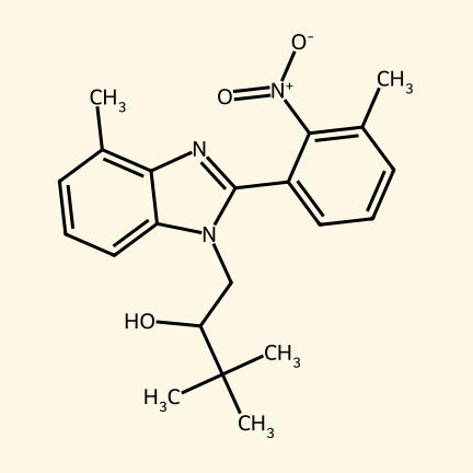 Cc1cccc(-c2nc3c(C)cccc3n2CC(O)C(C)(C)C)c1[N+](=O)[O-]